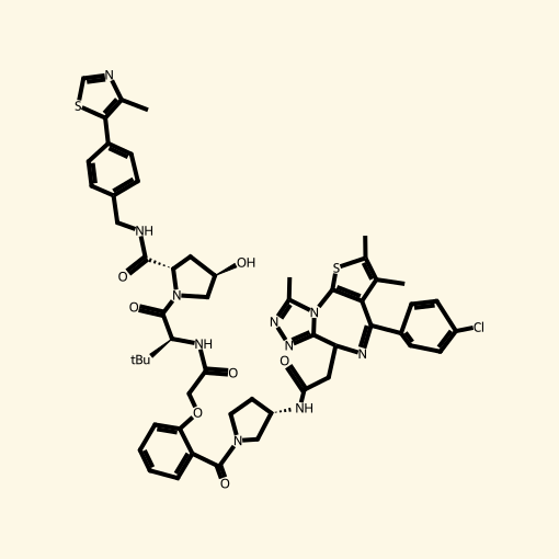 Cc1ncsc1-c1ccc(CNC(=O)[C@@H]2C[C@@H](O)CN2C(=O)[C@@H](NC(=O)COc2ccccc2C(=O)N2CC[C@H](NC(=O)CC3N=C(c4ccc(Cl)cc4)c4c(sc(C)c4C)-n4c(C)nnc43)C2)C(C)(C)C)cc1